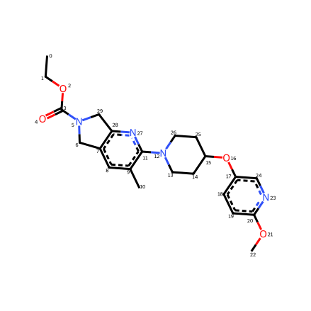 CCOC(=O)N1Cc2cc(C)c(N3CCC(Oc4ccc(OC)nc4)CC3)nc2C1